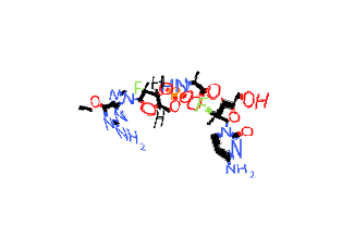 CCOc1nc(N)nc2c1ncn2[C@@H]1O[C@@H]2COP(=O)(N[C@@H](C)C(=O)O[C@@H]3[C@@H](CO)O[C@@H](n4ccc(N)nc4=O)[C@]3(C)F)O[C@H]2[C@@]1(C)F